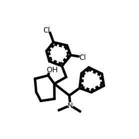 CN(C)C(c1ccccc1)C1(Cc2ccc(Cl)cc2Cl)CCCCC1O